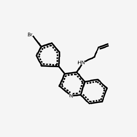 C=CCNc1c(-c2ccc(Br)cc2)cnc2ccccc12